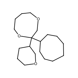 C1CCCC(C2(C3CCCOC3)COCCCCO2)CCC1